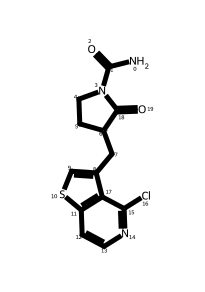 NC(=O)N1CC[C](Cc2csc3ccnc(Cl)c23)C1=O